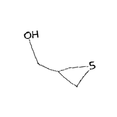 OCC1CS1